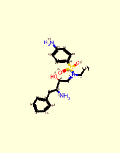 CC(C)CN(C[C@@H](O)C(N)Cc1ccccc1)S(=O)(=O)c1ccc(N)cc1